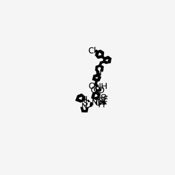 O=C(NS(=O)(=O)c1ccc(N[C@@H](CSc2ccccc2)C[C@H]2CCCN2)c(S(=O)(=O)C(F)(F)F)c1)c1ccc(N2CCC(Cc3ccccc3-c3ccc(Cl)cc3)CC2)cc1